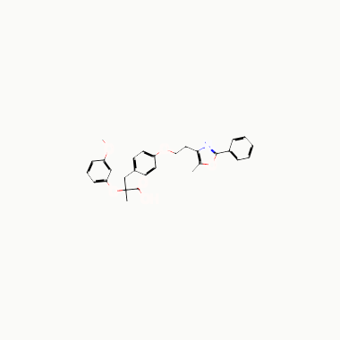 COc1cccc(OC(C)(Cc2ccc(OCCc3nc(-c4ccccc4)oc3C)cc2)C(=O)O)c1